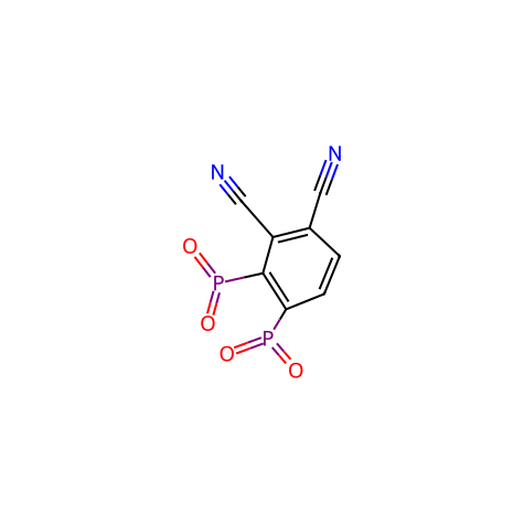 N#Cc1ccc(P(=O)=O)c(P(=O)=O)c1C#N